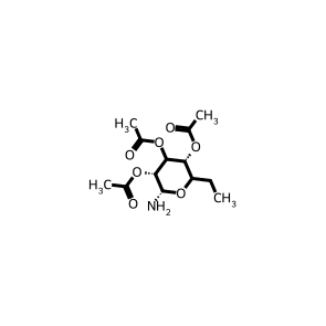 CCC1O[C@H](N)[C@H](OC(C)=O)C(OC(C)=O)[C@@H]1OC(C)=O